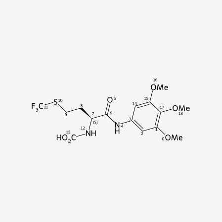 COc1cc(NC(=O)[C@H](CCSC(F)(F)F)NC(=O)O)cc(OC)c1OC